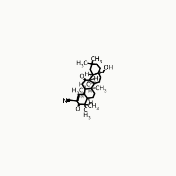 CC1(C)CC[C@]2(CO)CC[C@]3(C)[C@H](C(=O)CC4[C@@]5(C)C=C(C#N)C(=O)C(C)(C)[C@@H]5CC[C@]43C)[C@@H]2C1